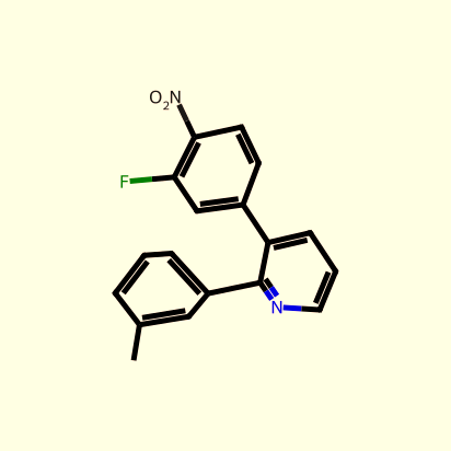 Cc1cccc(-c2ncccc2-c2ccc([N+](=O)[O-])c(F)c2)c1